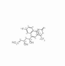 C=C1CC2(C(F)(F)F)CCC1C(c1ccc(F)cc1)=C2/C=C/C(O)CC(O)CC(=O)O